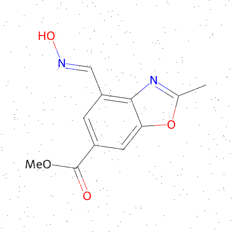 COC(=O)c1cc(/C=N/O)c2nc(C)oc2c1